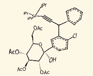 CC(=O)OC[C@H]1O[C@@](O)(c2ccc(Cl)c(C(C#C[Si](C(C)C)(C(C)C)C(C)C)c3ccccc3)c2)[C@H](OC(C)=O)[C@@H](OC(C)=O)[C@@H]1OC(C)=O